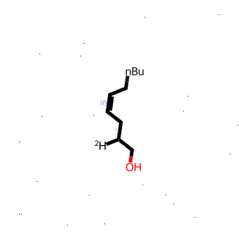 [2H]C(CO)C/C=C\CCCCC